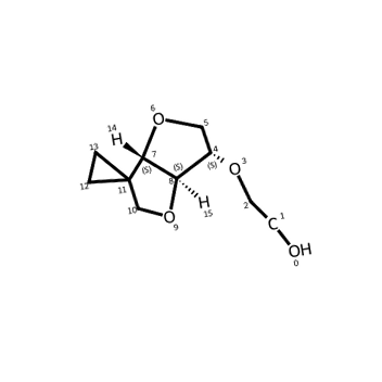 OCCO[C@H]1CO[C@@H]2[C@@H]1OCC21CC1